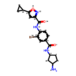 NC1CCC(NC(=O)c2ccc(NC(=O)c3cc(C4CC4)on3)c(Br)c2)C1